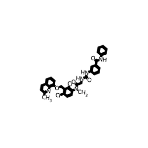 Cc1ccc2cccc(OCc3c(Cl)ccc(N(C)C(=O)CNC(=O)Nc4cccc(C(=O)Nc5ccccc5)c4)c3Cl)c2n1